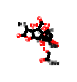 CCCC[C@@H]1CC2OC(=O)[C@@]34O[C@H]5OC(=O)[C@@H](OCC(=O)OC)C15C23[C@H](O)C1OC(=O)C(C)[C@]14O